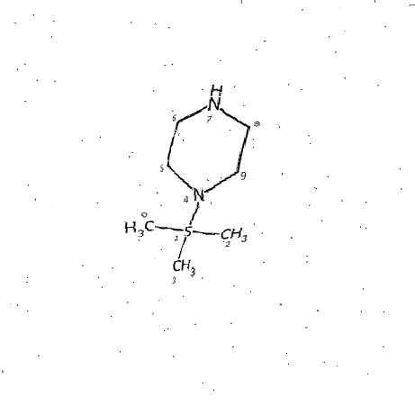 CS(C)(C)N1CCNCC1